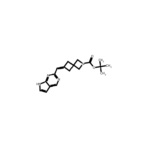 CC(C)(C)OC(=O)N1CC2(CC(=Cc3ncc4cc[nH]c4n3)C2)C1